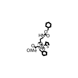 COC(=O)[C@H](CCCCNC(=O)OCc1ccccc1)N(Cc1ccccc1)S(=O)(=O)c1cccs1